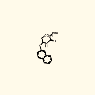 CCCCOC(=O)NC(CC(=O)O)Sc1ccc2ccccc2c1